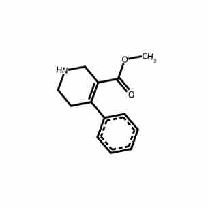 COC(=O)C1=C(c2ccccc2)CCNC1